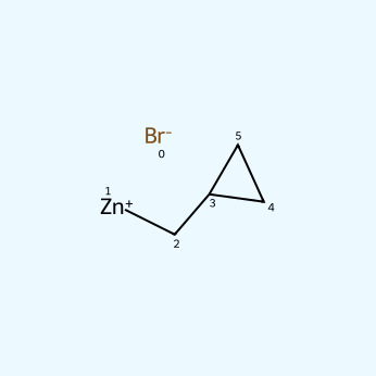 [Br-].[Zn+][CH2]C1CC1